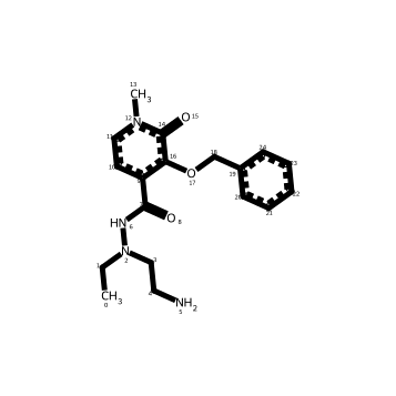 CCN(CCN)NC(=O)c1ccn(C)c(=O)c1OCc1ccccc1